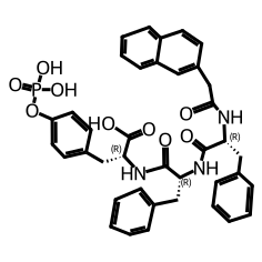 O=C(Cc1ccc2ccccc2c1)N[C@H](Cc1ccccc1)C(=O)N[C@H](Cc1ccccc1)C(=O)N[C@H](Cc1ccc(OP(=O)(O)O)cc1)C(=O)O